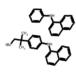 CC(C)(C)CC(C)(C)c1ccc(Nc2cccc3ccccc23)cc1.c1ccc(Nc2cccc3ccccc23)cc1